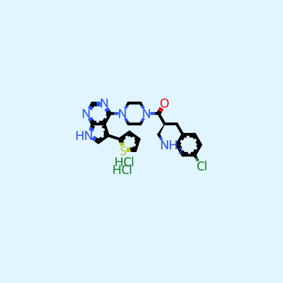 Cl.Cl.NC[C@H](Cc1ccc(Cl)cc1)C(=O)N1CCN(c2ncnc3[nH]cc(-c4cccs4)c23)CC1